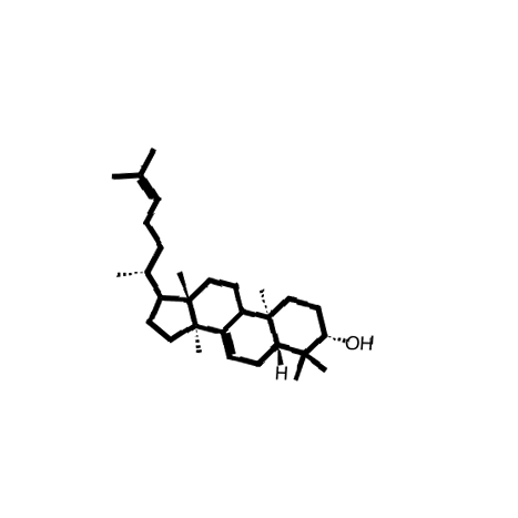 CC(C)=CCC[C@@H](C)C1CC[C@]2(C)C3=CC[C@H]4C(C)(C)[C@@H](O)CC[C@]4(C)C3CC[C@@]12C